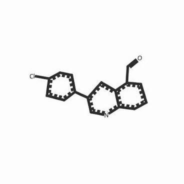 O=Cc1cccc2ncc(-c3ccc(Cl)cc3)cc12